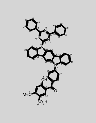 COc1cc(O)c(C(=O)c2ccc(-n3c4ccccc4c4cc5c(cc43)c3ccccc3n5-c3nc(C4=CCCC=C4)nc(C4C=CC=CC4)n3)cc2)cc1S(=O)(=O)O